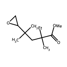 CCC(C)(CC(C)(C)C1CO1)C(=O)OC